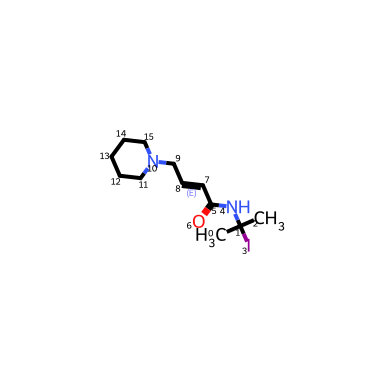 CC(C)(I)NC(=O)/C=C/CN1CCCCC1